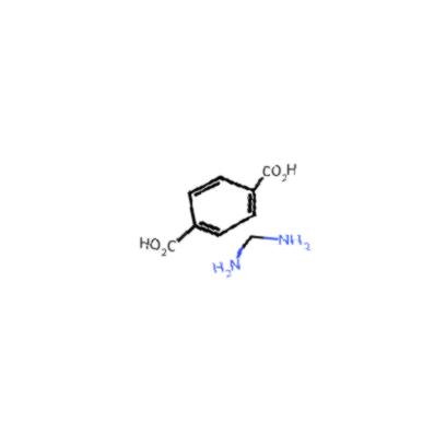 NCN.O=C(O)c1ccc(C(=O)O)cc1